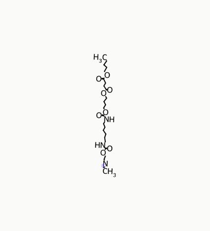 C/C=N/CCOC(=O)NCCCCCCNC(=O)OCCCCOC(=O)CCC(=O)OCCCCC